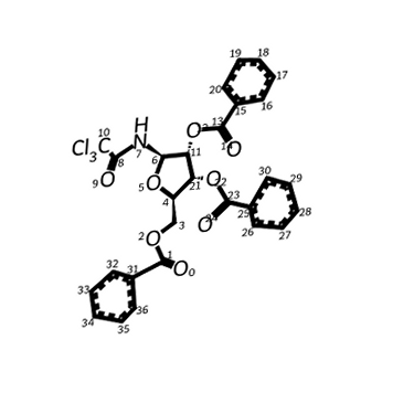 O=C(OC[C@H]1O[C@@H](NC(=O)C(Cl)(Cl)Cl)[C@H](OC(=O)c2ccccc2)[C@@H]1OC(=O)c1ccccc1)c1ccccc1